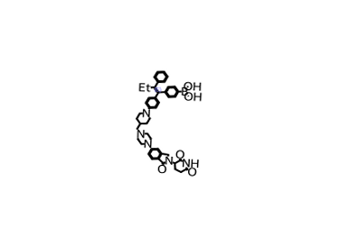 CC/C(=C(/c1ccc(B(O)O)cc1)c1ccc(N2CCC(CN3CCN(c4ccc5c(c4)CN(C4CCC(=O)NC4=O)C5=O)CC3)CC2)cc1)c1ccccc1